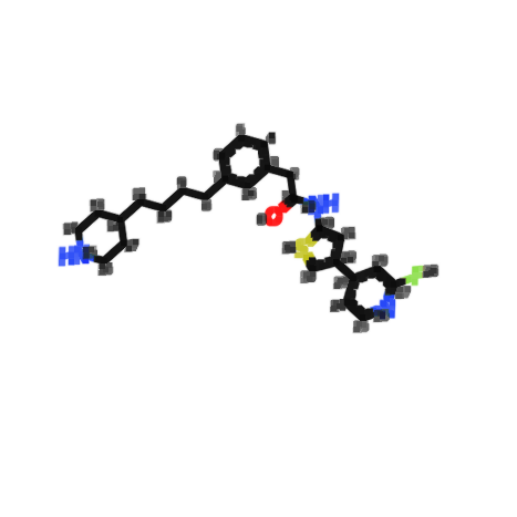 O=C(Cc1cccc(CCCCC2CCNCC2)c1)Nc1cc(-c2ccnc(F)c2)cs1